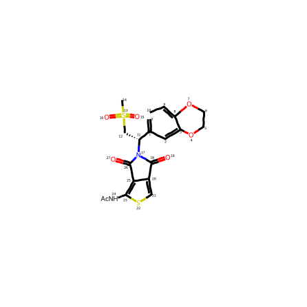 C=C(/C=C1/OCCO/C1=C/C)[C@@H](CS(C)(=O)=O)N1C(=O)c2csc(NC(C)=O)c2C1=O